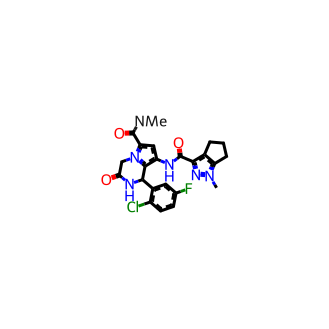 CNC(=O)c1cc(NC(=O)c2nn(C)c3c2CCC3)c2n1CC(=O)NC2c1cc(F)ccc1Cl